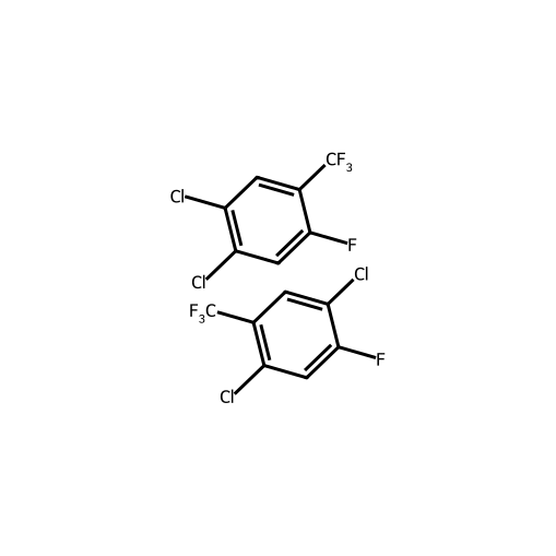 Fc1cc(Cl)c(C(F)(F)F)cc1Cl.Fc1cc(Cl)c(Cl)cc1C(F)(F)F